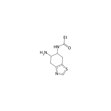 CCC(=O)NC1Cc2scnc2CC1N